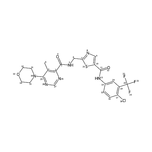 Cc1c(C(=O)NCc2ncc(C(=O)Nc3ccc(Cl)c(C(F)(F)F)c3)s2)ncnc1N1CCOCC1